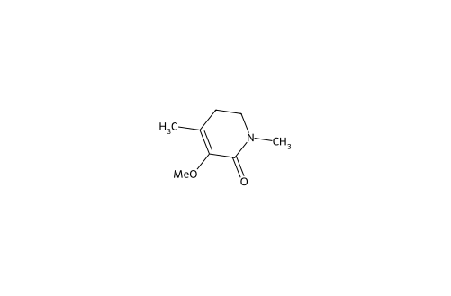 COC1=C(C)CCN(C)C1=O